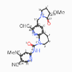 CNc1cc(NC(=O)N2CCCc3cc(CN4CC[C@H](OC)C4=O)c(C=O)nc32)ncc1C#N